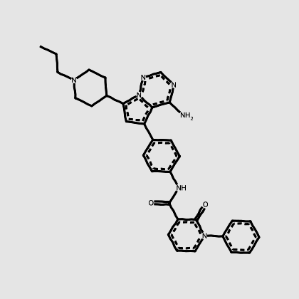 CCCN1CCC(c2cc(-c3ccc(NC(=O)c4cccn(-c5ccccc5)c4=O)cc3)c3c(N)ncnn23)CC1